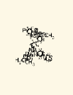 COc1ncc(-c2ccc3nc(NC(=O)OC(C)(C)C)c(-c4ccc(N5CCOCC5)cc4)n3c2)cc1NS(=O)(=O)c1ccc(F)cc1F